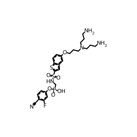 N#Cc1ccc(OP(=O)(O)CNS(=O)(=O)c2cc3cc(OCCCN(CCCN)CCCN)ccc3s2)cc1F